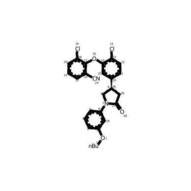 CCCCOc1cccc(N2C[C@@H](c3ccc(Cl)c(Oc4c(Cl)cccc4C#N)c3)CC2=O)c1